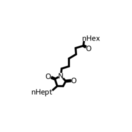 CCCCCCCC1CC(=O)N(CCCCCC(=O)CCCCCC)C1=O